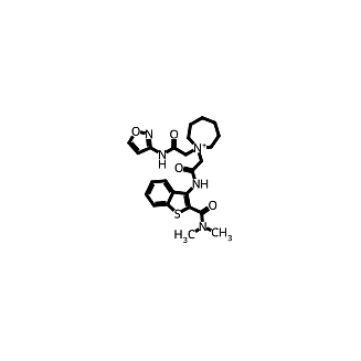 CN(C)C(=O)c1sc2ccccc2c1NC(=O)C[N+]1(CC(=O)Nc2ccon2)CCCCCC1